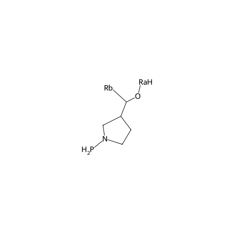 PN1CCC([CH]([Rb])[O][RaH])C1